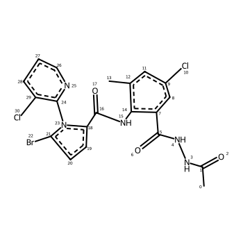 CC(=O)NNC(=O)c1cc(Cl)cc(C)c1NC(=O)c1ccc(Br)n1-c1ncccc1Cl